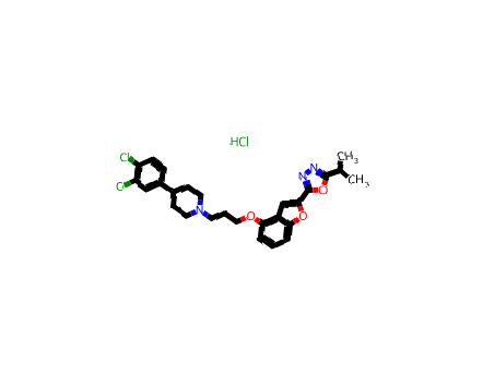 CC(C)c1nnc(-c2cc3c(OCCCN4CCC(c5ccc(Cl)c(Cl)c5)CC4)cccc3o2)o1.Cl